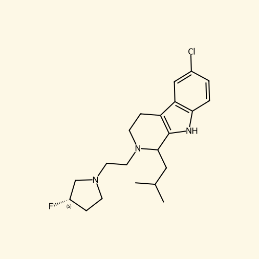 CC(C)CC1c2[nH]c3ccc(Cl)cc3c2CCN1CCN1CC[C@H](F)C1